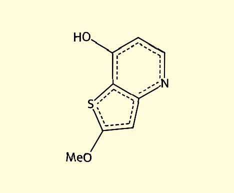 COc1cc2nccc(O)c2s1